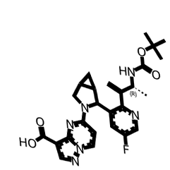 C=C(c1ncc(F)cc1C1C2CC2CN1c1ccn2ncc(C(=O)O)c2n1)[C@@H](C)NC(=O)OC(C)(C)C